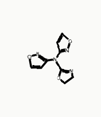 c1cc(N(C2=NCCO2)c2ccon2)no1